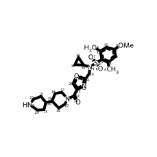 COc1cc(C)c(S(=O)(=O)N(Cc2nc(C(=O)N3CCC(C4CCNCC4)CC3)co2)C2CC2)c(C)c1